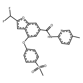 Cc1ccc(NC(=O)c2cc(Oc3ccc(S(C)(=O)=O)cc3)c3cc(C(F)F)oc3c2)nc1